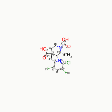 C[C@@H]1C[C@](Cc2nc(Cl)c(F)cc2F)(C(=O)O)CCN1C(=O)O